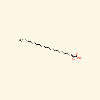 CCCCCCCCCCCCCCCCCCCCC/C=C(\O)C(=O)O